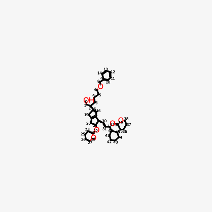 OCC(CCCCOCc1ccccc1)C1=CC2C(C1)CC(OC1CCCCO1)C2C=CC(OC1CCCCO1)C1CCCCC1